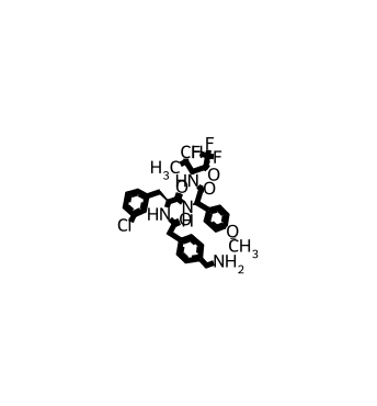 COc1ccc([C@H](NC(=O)[C@H](Cc2cccc(Cl)c2)NC(=O)Cc2ccc(CN)cc2)C(=O)N[C@H](C(=O)C(F)(F)F)C(C)C)cc1